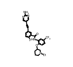 CCN1CCCC(Oc2ccc(C(F)(F)F)cc2NC(=O)c2cc(C#Cc3cnc(N)nc3)ccc2F)C1